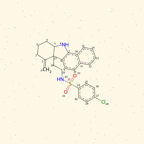 C=C1CCCC2Nc3c(ccc4ccccc34)C12CCNS(=O)(=O)c1ccc(Cl)cc1